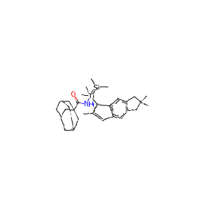 CC1=Cc2cc3c(cc2[CH]1[Ti]([CH3])([CH3])([NH]C(=O)C12CC4CC(CC(C4)C1)C2)=[Si](C)C)CC(C)(C)C3